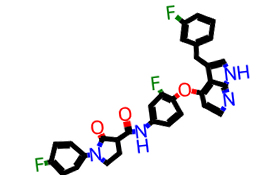 O=C(Nc1ccc(Oc2ccnc3[nH]cc(Cc4cccc(F)c4)c23)c(F)c1)C1CCN(c2ccc(F)cc2)C1=O